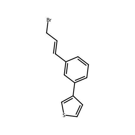 BrC/C=C/c1cccc(-c2ccsc2)c1